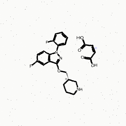 Fc1ccc2c(c1)c(OC[C@H]1CCCNC1)nn2-c1ccccc1F.O=C(O)/C=C\C(=O)O